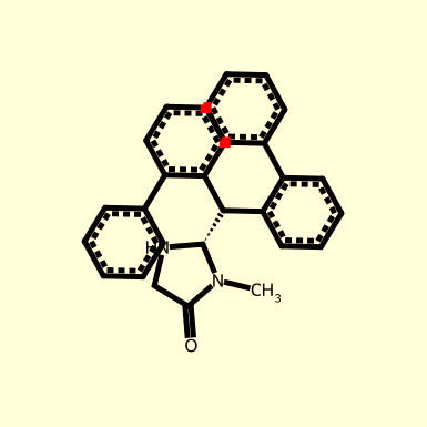 CN1C(=O)CN[C@@H]1C(c1ccccc1-c1ccccc1)c1ccccc1-c1ccccc1